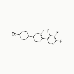 CCC1CCC(C2CCC(c3ccc(F)c(F)c3F)=C(C)C2)CC1